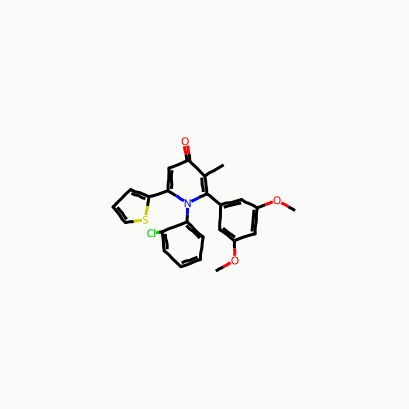 COc1cc(OC)cc(-c2c(C)c(=O)cc(-c3cccs3)n2-c2ccccc2Cl)c1